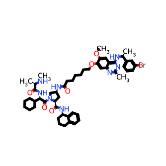 CN[C@@H](C)C(=O)N[C@H](C(=O)N1C[C@@H](NC(=O)CCCCCCOc2cc3nc(C)nc(N[C@H](C)c4cccc(Br)c4)c3cc2OC)C[C@H]1C(=O)N[C@@H]1CCCc2ccccc21)C1CCCCC1